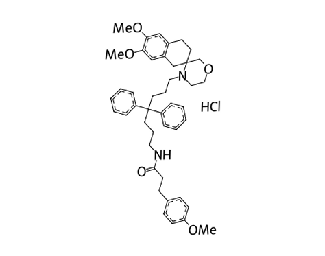 COc1ccc(CCC(=O)NCCCC(CCCN2CCOCC23CCc2cc(OC)c(OC)cc2C3)(c2ccccc2)c2ccccc2)cc1.Cl